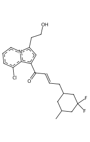 CC1CC(C/C=C/C(=O)c2cc(CCO)n3cccc(Cl)c23)CC(F)(F)C1